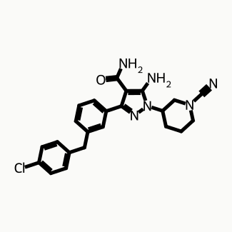 N#CN1CCCC(n2nc(-c3cccc(Cc4ccc(Cl)cc4)c3)c(C(N)=O)c2N)C1